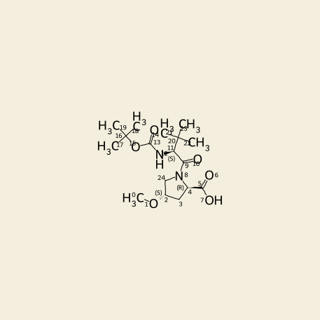 CO[C@H]1C[C@H](C(=O)O)N(C(=O)[C@@H](NC(=O)OC(C)(C)C)C(C)(C)C)C1